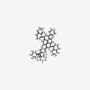 CC1CCCC2(C)c3cc(-c4cc(-c5cccc6ccccc56)c5ccc6c(-c7ccccc7)cc(-c7cccc8ccccc78)c7ccc4c5c67)ccc3N(c3ccccc3)C12C